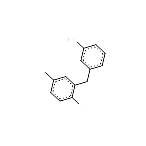 Oc1ccc(Cl)cc1Cc1cccc(C(F)(F)F)c1